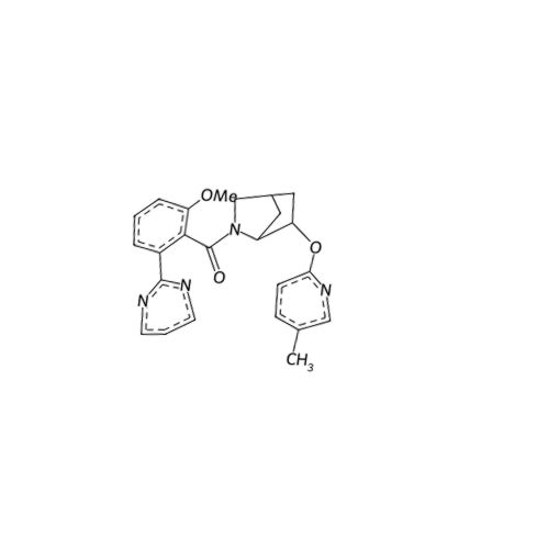 COc1cccc(-c2ncccn2)c1C(=O)N1CC2CC(Oc3ccc(C)cn3)C1C2